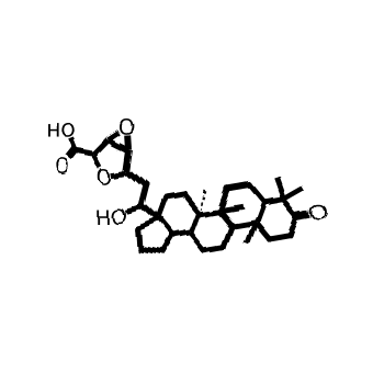 CC1(C)C(=O)CCC2(C)C1CCC1(C)C2CCC2C3CCCC3(C(O)CC3OC(C(=O)O)C4OC34)CC[C@]21C